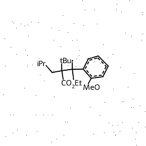 CCOC(=O)C(CC(C)C)(C(C)(C)C)C(C)(C)c1ccccc1OC